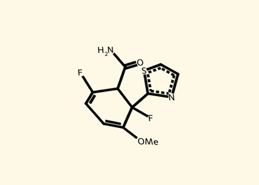 COC1=CC=C(F)C(C(N)=O)C1(F)c1nccs1